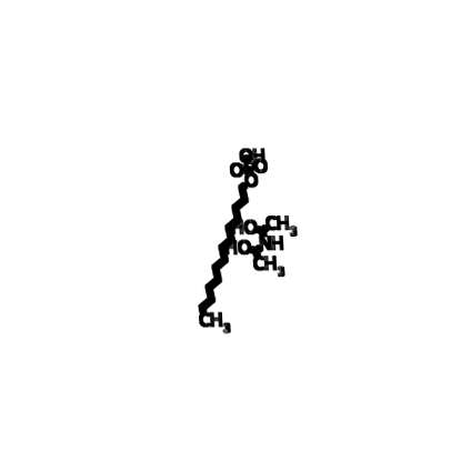 CC(O)NC(C)O.CCCCCCCCCCCCCCOS(=O)(=O)O